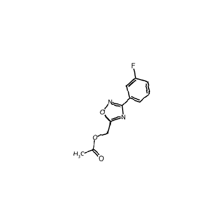 CC(=O)OCc1nc(-c2cccc(F)c2)no1